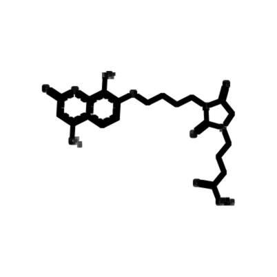 CCCc1c(OCCCCN2C(=O)CN(CCCC(=O)OC)C2=O)ccc2c(C(F)(F)F)cc(=O)oc12